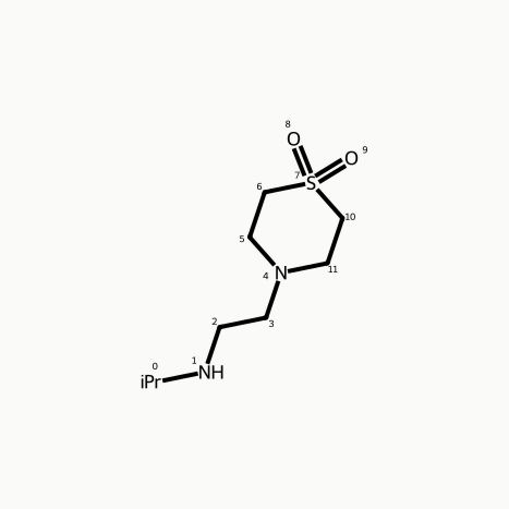 CC(C)NCCN1CCS(=O)(=O)CC1